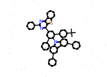 CC(C)(C)c1ccc(-c2cc(-c3nc(-c4ccccc4)nc4c3sc3ccccc34)cc(-c3ccccc3)c2-n2c3ccc(-c4ccccc4)cc3c3cc(-c4ccccc4)ccc32)cc1